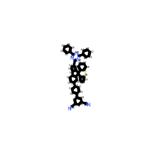 N#Cc1cc(C#N)cc(-c2ccc(-c3ccc4c(c3)C3(c5ccccc5Sc5ccccc53)c3cc(-c5nc(-c6ccccc6)nc(-c6ccccc6)n5)ccc3-4)cc2)c1